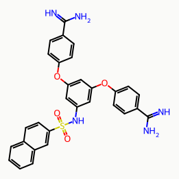 N=C(N)c1ccc(Oc2cc(NS(=O)(=O)c3ccc4ccccc4c3)cc(Oc3ccc(C(=N)N)cc3)c2)cc1